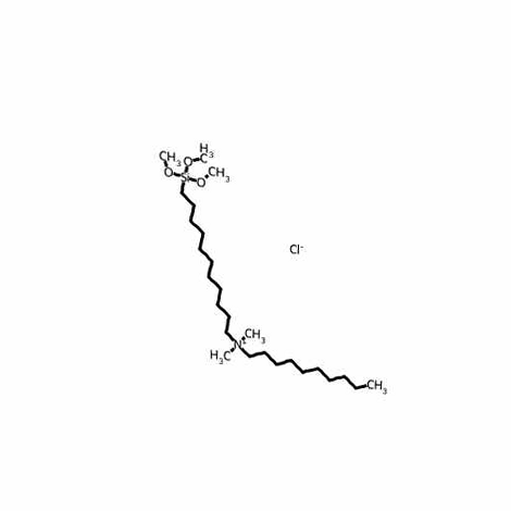 CCCCCCCCCC[N+](C)(C)CCCCCCCCCCC[Si](OC)(OC)OC.[Cl-]